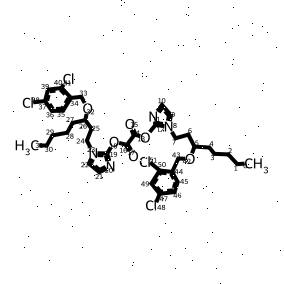 CCCCCC(CCn1ccnc1OC(=O)C(=O)Oc1nccn1CCC(CCCCC)OCc1ccc(Cl)cc1Cl)OCc1ccc(Cl)cc1Cl